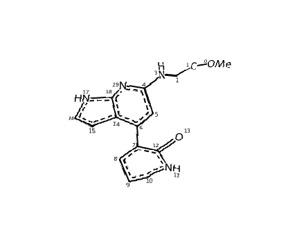 COCCNc1cc(-c2ccc[nH]c2=O)c2cc[nH]c2n1